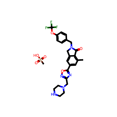 CS(=O)(=O)O.Cc1cc(-c2nc(CN3CCNCC3)no2)cc2c1C(=O)N(Cc1ccc(OC(F)(F)F)cc1)C2